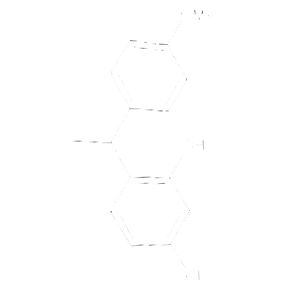 COc1ccc(C(C)c2ccc(O)cc2O)cc1